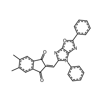 Cc1cc2c(cc1C)C(=O)C(=Cc1nc3oc(-c4ccccc4)nc3n1-c1ccccc1)C2=O